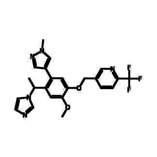 COc1cc(C(C)n2ccnc2)c(-c2cnn(C)c2)cc1OCc1ccc(C(F)(F)F)nc1